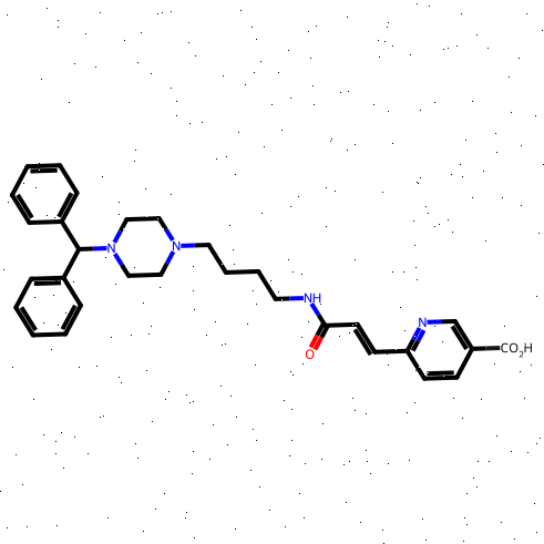 O=C(C=Cc1ccc(C(=O)O)cn1)NCCCCN1CCN(C(c2ccccc2)c2ccccc2)CC1